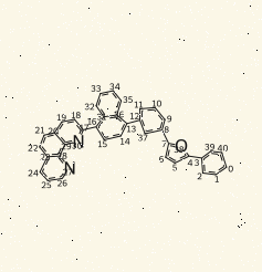 c1ccc(-c2ccc(-c3cccc(-c4ccc(-c5ccc6ccc7cccnc7c6n5)c5ccccc45)c3)o2)cc1